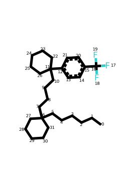 CCCCCCC1(CCCCC2(c3ccc(C(F)(F)F)cc3)CCCCC2)CCCCC1